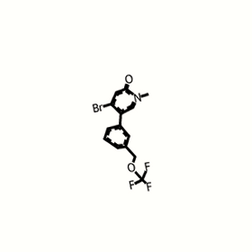 Cn1cc(-c2cccc(COC(F)(F)F)c2)c(Br)cc1=O